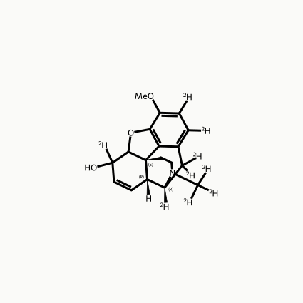 [2H]c1c([2H])c2c3c(c1OC)OC1C([2H])(O)C=C[C@@H]4[C@@]31CCN(C([2H])([2H])[2H])[C@]4([2H])C2([2H])[2H]